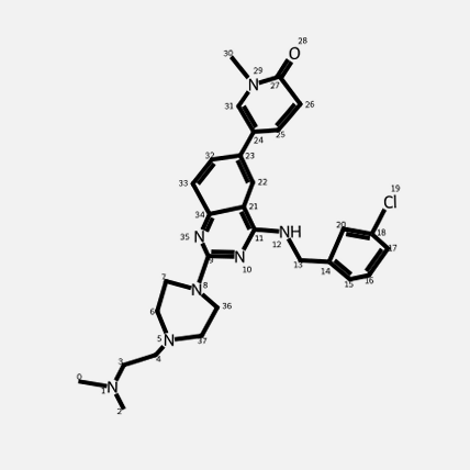 CN(C)CCN1CCN(c2nc(NCc3cccc(Cl)c3)c3cc(-c4ccc(=O)n(C)c4)ccc3n2)CC1